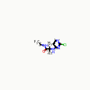 CCC(C)(Nc1ccnc(Cl)n1)C(=O)NCC(F)(F)F